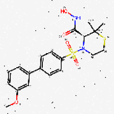 COc1cccc(-c2ccc(S(=O)(=O)N3CCSC(C)(C)[C@@H]3C(=O)NO)cc2)c1